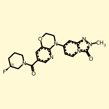 Cn1nc2cc(N3CCOc4cc(C(=O)N5CCC[C@H](F)C5)cnc43)ccn2c1=O